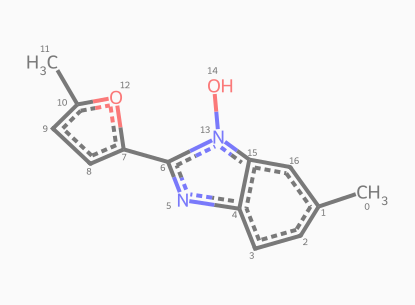 Cc1ccc2nc(-c3ccc(C)o3)n(O)c2c1